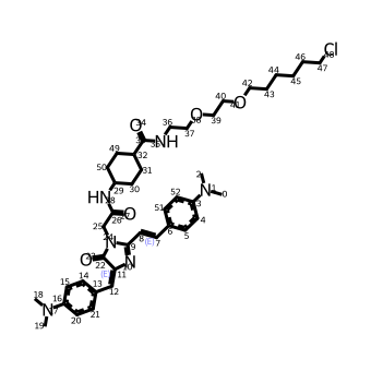 CN(C)c1ccc(/C=C/C2=NC(=C/c3ccc(N(C)C)cc3)/C(=O)N2CC(=O)NC2CCC(C(=O)NCCOCCOCCCCCCCl)CC2)cc1